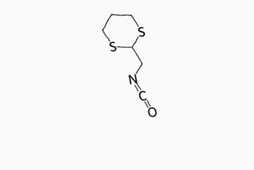 O=C=NCC1SCCCS1